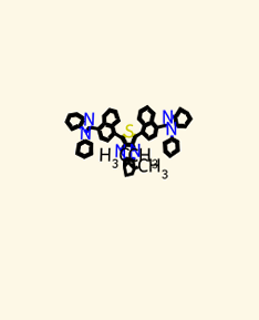 CC12CCC(c3nc4c(-c5ccc(-c6nc7ccccc7n6-c6ccccc6)c6ccccc56)sc(-c5ccc(-c6nc7ccccc7n6-c6ccccc6)c6ccccc56)c4nc31)C2(C)C